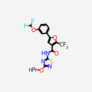 CCCOc1nsc(NC(=O)c2cc(-c3cccc(OC(F)F)c3)oc2C(F)(F)F)n1